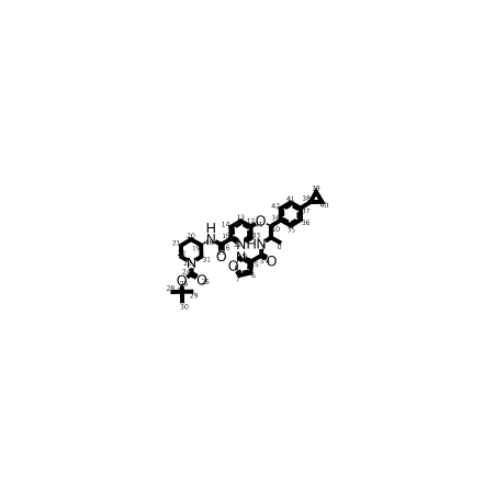 CC(NC(=O)c1ccon1)[C@H](Oc1ccc(C(=O)N[C@H]2CCCN(C(=O)OC(C)(C)C)C2)nc1)c1ccc(C2CC2)cc1